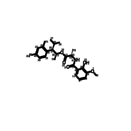 COc1ccnc(C(=O)N[C@@H](C)C(=O)O[C@@H](C)[C@@H](c2ccc(F)cc2C)C(C)C)c1O